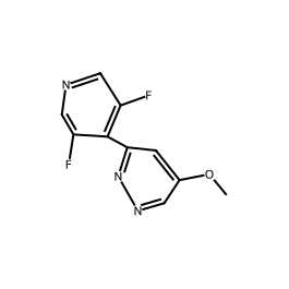 COc1cnnc(-c2c(F)cncc2F)c1